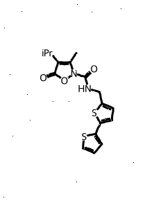 Cc1c(C(C)C)c(=O)on1C(=O)NCc1ccc(-c2cccs2)s1